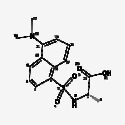 C[C@H](NS(=O)(=O)c1cccc2c(N(C)C)cccc12)C(=O)O